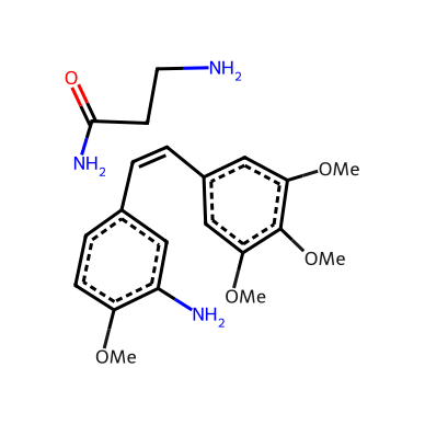 COc1ccc(/C=C\c2cc(OC)c(OC)c(OC)c2)cc1N.NCCC(N)=O